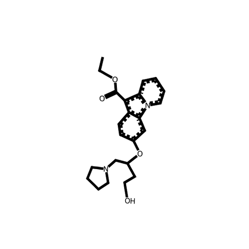 CCOC(=O)c1c2ccc(OC(CCO)CN3CCCC3)cc2n2ccccc12